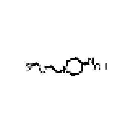 ON=C1CCN(CCOC=S)CC1